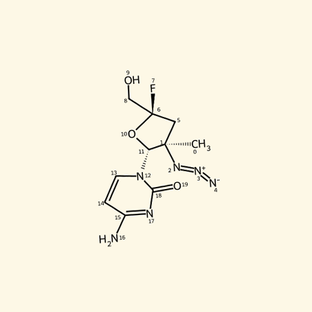 C[C@@]1(N=[N+]=[N-])C[C@@](F)(CO)O[C@H]1n1ccc(N)nc1=O